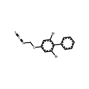 S=C=NCOc1cc(Br)c(-c2ccccc2)c(Br)c1